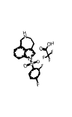 O=C(O)C(F)(F)F.O=S(=O)(c1ccc(F)cc1F)n1cc2c3c(cccc31)CNCC2